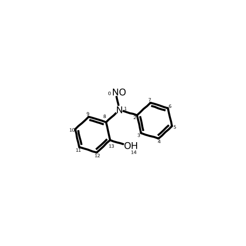 O=NN(c1ccccc1)c1ccccc1O